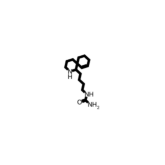 NC(=O)NCCCCC1NCCCC12C=CCCC2